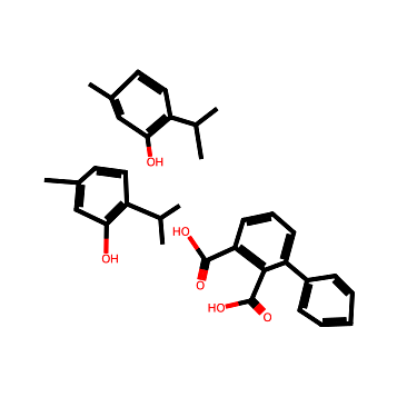 Cc1ccc(C(C)C)c(O)c1.Cc1ccc(C(C)C)c(O)c1.O=C(O)c1cccc(-c2ccccc2)c1C(=O)O